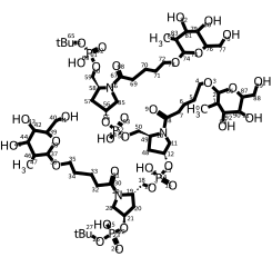 CC1C(OCCCCC(=O)N2C[C@H](OP(=O)(O)OC[C@@H]3C[C@@H](OP(=O)(O)OC(C)(C)C)CN3C(=O)CCCCOC3OC(CO)C(O)C(O)C3C)C[C@H]2COP(=O)(O)O[C@@H]2C[C@@H](COP(=O)(O)OC(C)(C)C)N(C(=O)CCCCOC3OC(CO)C(O)C(O)C3C)C2)OC(CO)C(O)C1O